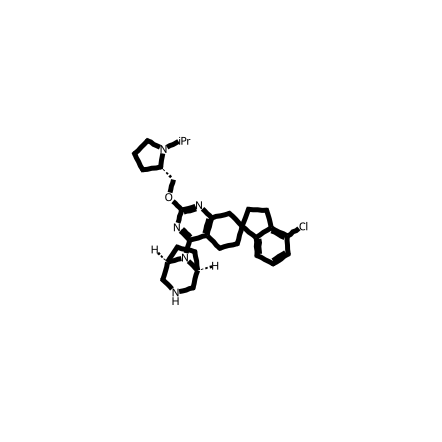 CC(C)N1CCC[C@H]1COc1nc2c(c(N3[C@@H]4CC[C@H]3CNC4)n1)CCC1(CCc3c(Cl)cccc31)C2